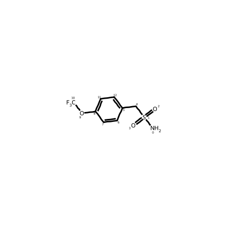 NS(=O)(=O)Cc1ccc(OC(F)(F)F)cc1